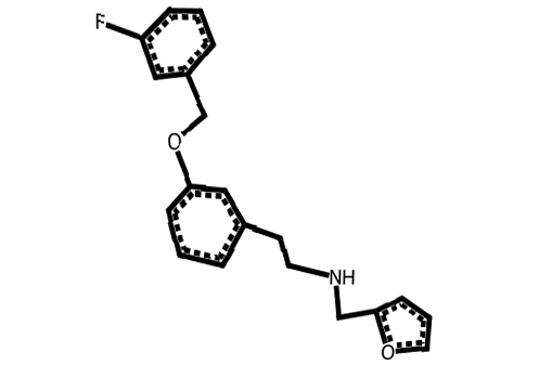 Fc1cccc(COc2cccc(CCNCc3ccco3)c2)c1